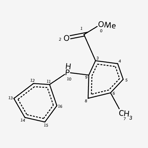 COC(=O)c1ccc(C)cc1Pc1ccccc1